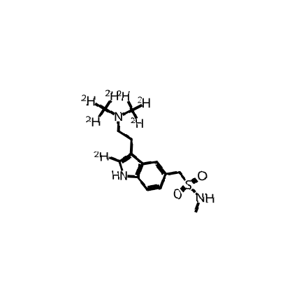 [2H]c1[nH]c2ccc(CS(=O)(=O)NC)cc2c1CCN(C([2H])([2H])[2H])C([2H])([2H])[2H]